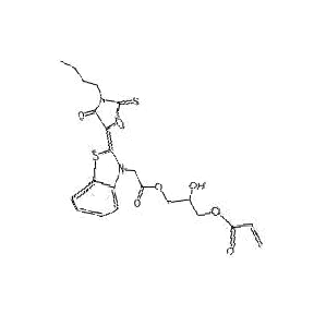 C=CC(=O)OCC(O)COC(=O)CN1/C(=C2\OC(=S)N(CCCC)C2=O)Sc2ccccc21